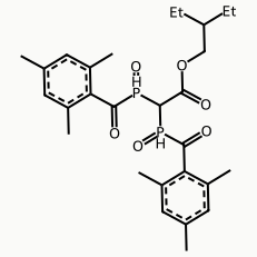 CCC(CC)COC(=O)C([PH](=O)C(=O)c1c(C)cc(C)cc1C)[PH](=O)C(=O)c1c(C)cc(C)cc1C